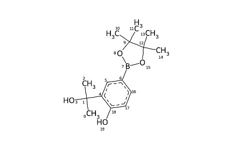 CC(C)(O)c1cc(B2OC(C)(C)C(C)(C)O2)ccc1O